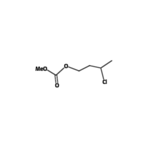 COC(=O)OCCC(C)Cl